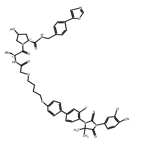 CC(C)(C)[C@H](NC(=O)COCCCCOc1ccc(-c2ccc(N3C(=S)N(c4ccc(C#N)c(Cl)c4)C(=O)C3(C)C)c(F)c2)cc1)C(=O)N1CC(O)C[C@H]1C(=O)NCc1ccc(-c2cnco2)cc1